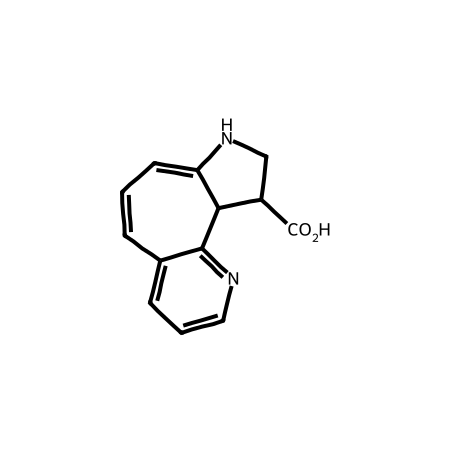 O=C(O)C1CNC2=CC=Cc3cccnc3C21